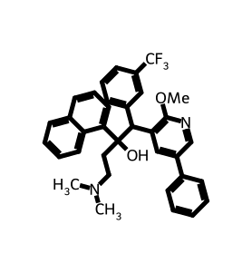 COc1ncc(-c2ccccc2)cc1C(c1cccc(C(F)(F)F)c1)C(O)(CCN(C)C)c1cccc2ccccc12